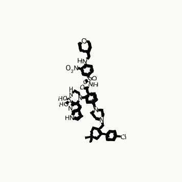 CC1(C)CCC(CN2CCN(c3ccc(C(=O)NS(=O)(=O)c4ccc(NCC5CCOCC5)c([N+](=O)[O-])c4)c(N4CCNS(O)(O)c5nc6[nH]ccc6cc54)c3)CC2)=C(c2ccc(Cl)cc2)C1